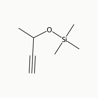 C#CC(C)O[Si](C)(C)C